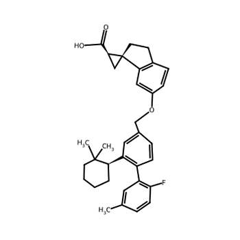 Cc1ccc(F)c(-c2ccc(COc3ccc4c(c3)[C@]3(CC4)C[C@H]3C(=O)O)cc2[C@H]2CCCCC2(C)C)c1